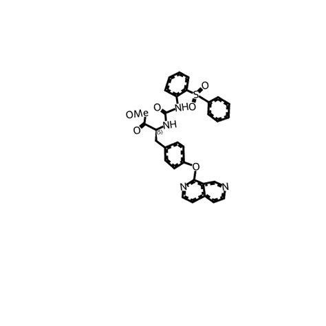 COC(=O)[C@H](Cc1ccc(Oc2nccc3ccncc23)cc1)NC(=O)Nc1ccccc1S(=O)(=O)c1ccccc1